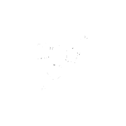 CC(=O)Cc1ncn2c1CN(C)C(=O)c1cc(C)ccc1-2